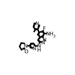 Cc1ccncc1-c1cc2cc(Nc3ccc(N4CCCCC4=O)cn3)nnc2c(N)c1F